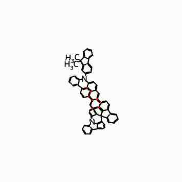 CC1(C)c2ccccc2-c2ccc(N(c3ccc4cc(-c5ccc6c(c5)C5(c7ccccc7-6)c6ccccc6-n6c7ccccc7c7cccc5c76)ccc4c3)c3ccccc3-c3ccc(-c4ccccc4)cc3)cc21